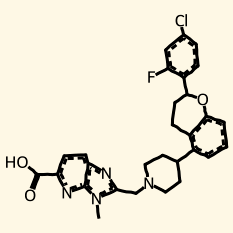 Cn1c(CN2CCC(c3cccc4c3CCC(c3ccc(Cl)cc3F)O4)CC2)nc2ccc(C(=O)O)nc21